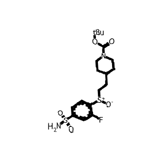 CC(C)(C)OC(=O)N1CCC(CC[S+]([O-])c2ccc(S(N)(=O)=O)cc2F)CC1